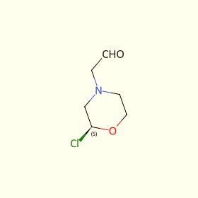 O=CCN1CCO[C@@H](Cl)C1